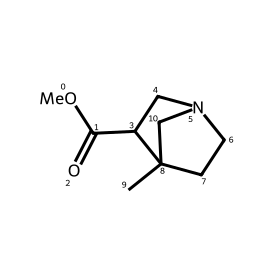 COC(=O)C1CN2CCC1(C)C2